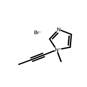 CC#C[N+]1(C)C=CN=C1.[Br-]